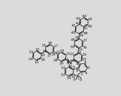 CC1(C)c2ccccc2-c2c(N(c3ccc(-c4cccc(-c5ccccc5)c4)cc3)c3cccc(-c4ccc(-c5ccc6ccccc6c5)cc4)c3)cccc21